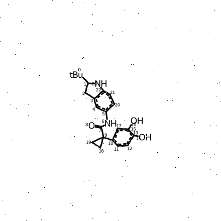 CC(C)(C)C1Cc2cc(NC(=O)C3(c4ccc(O)c(O)c4)CC3)ccc2N1